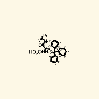 CC(C)c1noc(C(CSC(c2ccccc2)(c2ccccc2)c2ccccc2)NC(=O)O)n1